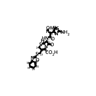 CON=C(C(=O)N[C@@H]1C(=O)N2C(C(=O)O)=C(CSc3nc4ccccc4o3)CS[C@@H]12)c1csc(N)n1